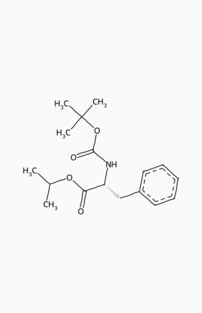 CC(C)OC(=O)[C@@H](Cc1ccccc1)NC(=O)OC(C)(C)C